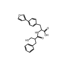 O=C(NC(Cc1ccc(-c2ccoc2)cc1)C(=O)O)C(CS)Cc1ccccc1